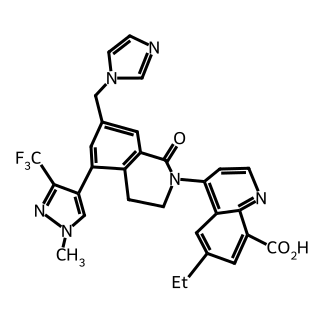 CCc1cc(C(=O)O)c2nccc(N3CCc4c(cc(Cn5ccnc5)cc4-c4cn(C)nc4C(F)(F)F)C3=O)c2c1